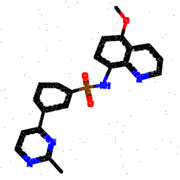 COc1ccc(NS(=O)(=O)c2cccc(-c3ccnc(C)n3)c2)c2ncccc12